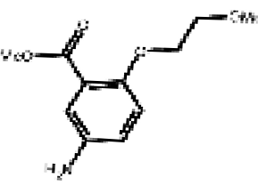 COCCOc1ccc(N)cc1C(=O)OC